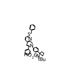 CC(C)(C)N(C(=O)O)C1(c2ccc(N3Cc4nc(SCc5ccccc5)ccc4C=C3c3ccccc3)cc2)CCC1